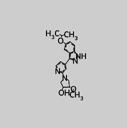 CO[C@H]1CN(c2cc(-c3n[nH]c4ccc(OC(C)C)cc34)ccn2)CC1O